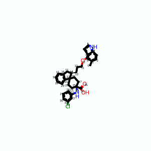 Cc1ccc2[nH]ccc2c1OCCC[C@@H]1Cc2ccccc2C12CCC(Nc1cccc(Cl)c1)(C(=O)O)CC2